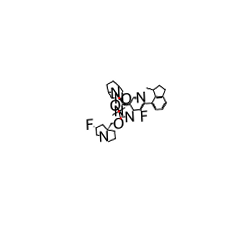 CC1CCc2cccc(-c3ncc4c(N5CC6CCC(C5)N6C(=O)OC(C)(C)C)nc(OC[C@@]56CCCN5C[C@H](F)C6)nc4c3F)c21